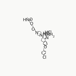 CNC(=O)COCCOCCN1CCN(c2nc(N)nc3c2CCc2cc(OCc4ccc(Cl)cc4)ccc2-3)CC1.Cl.Cl